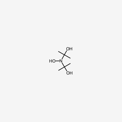 CC(C)(O)N(O)C(C)(C)O